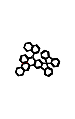 c1ccc(N(c2cc3c(cc2-c2ccc4c(c2)CCCC4)-c2ccccc2C32c3ccccc3-c3ccccc32)c2cccc3c2CCCC3)cc1